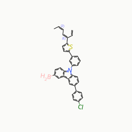 Bc1ccc2c(c1)c1cc(-c3ccc(Cl)cc3)ccc1n2-c1cccc(-c2ccc(/C(C=C)=C/C=C\C)s2)c1